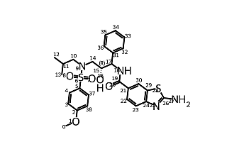 COc1ccc(S(=O)(=O)N(CC(C)C)C[C@@H](O)C(NC(=O)c2ccc3nc(N)sc3c2)c2ccccc2)cc1